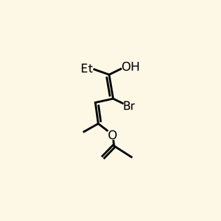 C=C(C)OC(C)=C/C(Br)=C(/O)CC